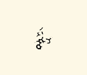 C=CC(=O)N1CCN2C(=O)c3c(N4CC(C#N)CC4(C)C)nc(-c4c(O)cccc4F)c(Cl)c3OCC2C1